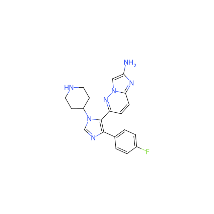 Nc1cn2nc(-c3c(-c4ccc(F)cc4)ncn3C3CCNCC3)ccc2n1